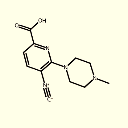 [C-]#[N+]c1ccc(C(=O)O)nc1N1CCN(C)CC1